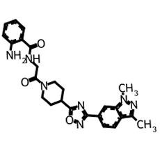 Cc1nn(C)c2cc(-c3noc(C4CCN(C(=O)CNC(=O)c5ccccc5N)CC4)n3)ccc12